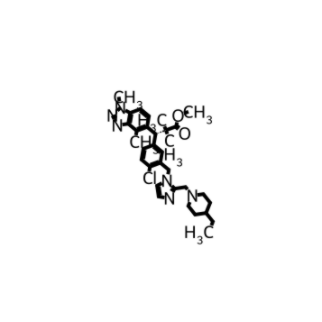 CCC1CCN(Cc2nccn2Cc2cc([C@H](c3ccc4c(nnn4C)c3C)C(C)(C)C(=O)OC)ccc2Cl)CC1